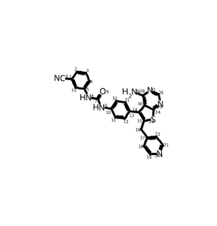 N#Cc1cccc(NC(=O)Nc2ccc(-c3c(Cc4ccncc4)sc4ncnc(N)c34)cc2)c1